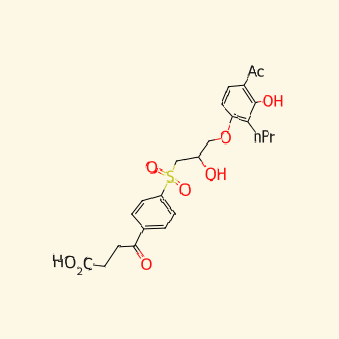 CCCc1c(OCC(O)CS(=O)(=O)c2ccc(C(=O)CCC(=O)O)cc2)ccc(C(C)=O)c1O